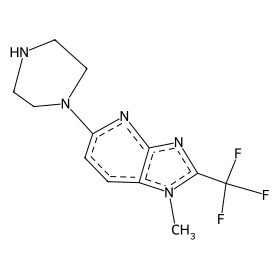 Cn1c(C(F)(F)F)nc2nc(N3CCNCC3)ccc21